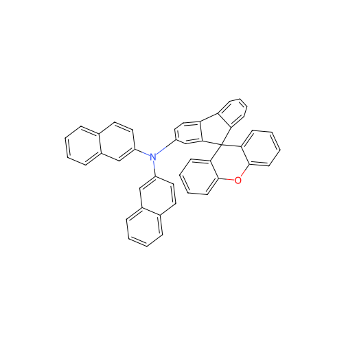 c1ccc2c(c1)Oc1ccccc1C21c2ccccc2-c2ccc(N(c3ccc4ccccc4c3)c3ccc4ccccc4c3)cc21